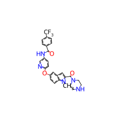 Cn1c(C(=O)N2CCNCC2)cc2cc(Oc3ccc(NC(=O)c4ccc(C(F)(F)F)cc4)cn3)ccc21